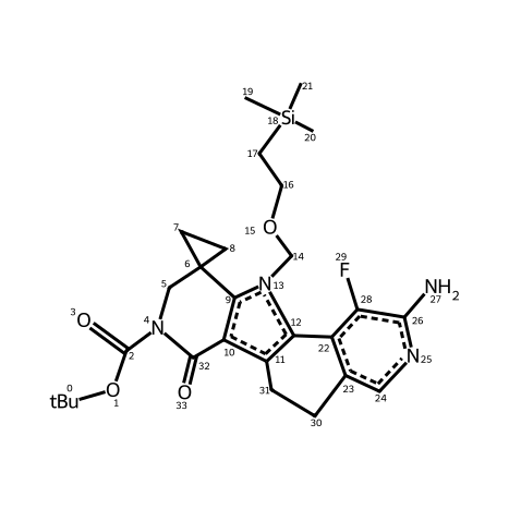 CC(C)(C)OC(=O)N1CC2(CC2)c2c(c3c(n2COCC[Si](C)(C)C)-c2c(cnc(N)c2F)CC3)C1=O